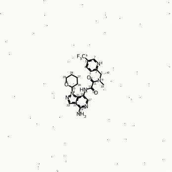 C[C@@H](c1ccc(C(F)(F)F)cn1)N(C)C(=O)C(=O)Nc1cnc(N)c2cnn(C3CCCCO3)c12